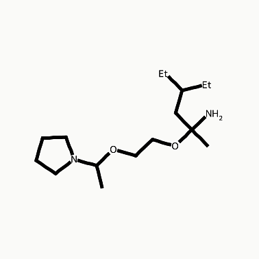 CCC(CC)CC(C)(N)OCCOC(C)N1CCCC1